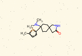 Cc1ccc(C2(N(C)C)CCC3(CC2)CNC(=O)C3)s1